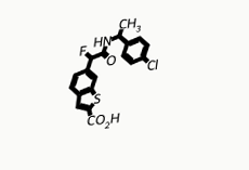 CC(NC(=O)C(F)c1ccc2cc(C(=O)O)sc2c1)c1ccc(Cl)cc1